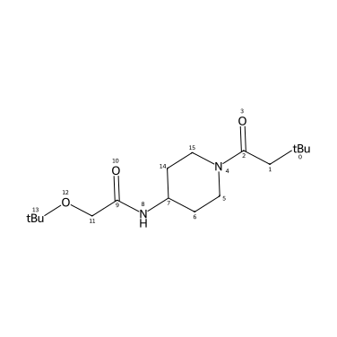 CC(C)(C)CC(=O)N1CCC(NC(=O)COC(C)(C)C)CC1